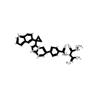 C=C(C)[C@H](NC(=O)c1ccc(-c2cnc3ncc(C4(c5ccc6ncccc6c5)CC4)n3c2)cc1)C(=O)NC